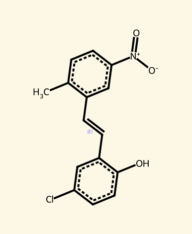 Cc1ccc([N+](=O)[O-])cc1/C=C/c1cc(Cl)ccc1O